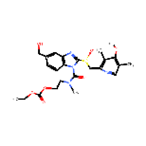 CCOC(=O)OCCN(C)C(=O)n1c([S@@+]([O-])Cc2ncc(C)c(OC)c2C)nc2cc(CO)ccc21